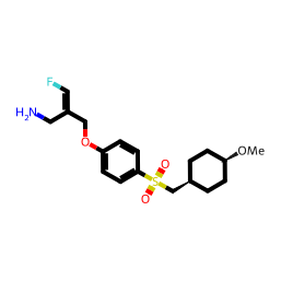 CO[C@H]1CC[C@@H](CS(=O)(=O)c2ccc(OC/C(=C/F)CN)cc2)CC1